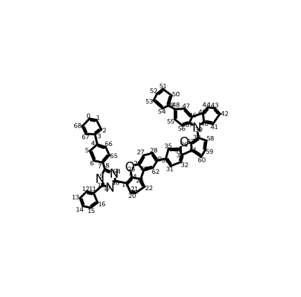 c1ccc(-c2ccc(-c3nc(-c4ccccc4)nc(-c4cccc5c4oc4ccc(-c6ccc7c(c6)oc6c(-n8c9ccccc9c9cc(-c%10ccccc%10)ccc98)cccc67)cc45)n3)cc2)cc1